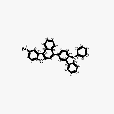 Brc1ccc2oc3cc(-c4ccc5c(c4)c4ccccc4n5-c4ccccc4)c4ccccc4c3c2c1